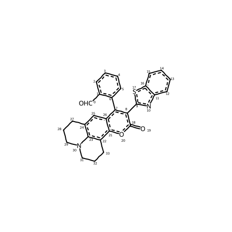 O=Cc1ccccc1-c1c(-c2nc3ccccc3s2)c(=O)oc2c3c4c(cc12)CCCN4CCC3